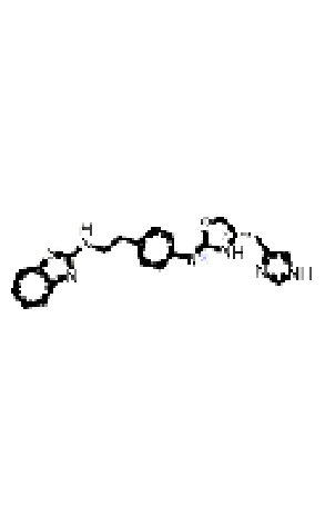 c1ccc2sc(NCCc3ccc(/N=C4/N[C@@H](Cc5c[nH]cn5)CS4)cc3)nc2c1